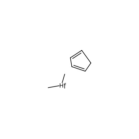 C1=CCC=C1.[CH3][Hf][CH3]